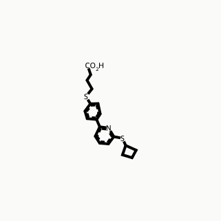 O=C(O)CCCSc1ccc(-c2cccc(SC3CCC3)n2)cc1